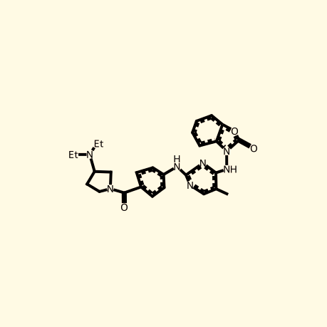 CCN(CC)C1CCN(C(=O)c2ccc(Nc3ncc(C)c(Nn4c(=O)oc5ccccc54)n3)cc2)C1